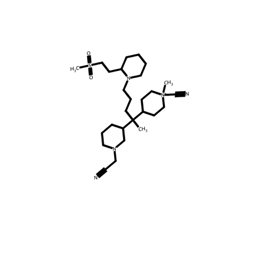 CC([CH]CCN1CCCCC1CCS(C)(=O)=O)(C1CC[N+](C)(C#N)CC1)C1CCCN(CC#N)C1